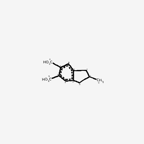 CC1Cc2cc(C(=O)O)c(C(=O)O)cc2C1